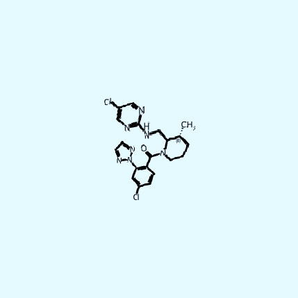 C[C@@H]1CCCN(C(=O)c2ccc(Cl)cc2-n2nccn2)C1CNc1ncc(Cl)cn1